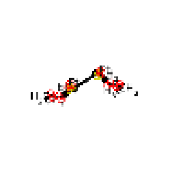 C=C(C)C(=O)OCCOC(=O)c1ccc(CSC2(P(C)OCC)SC3(CCCCCCCCCCC45C=CC(C4)C(SCc4ccc(C(=O)OCCOC(=O)C(=C)C)cc4)(P(=O)(OCC)OCC)S5)C=CC2C3)cc1